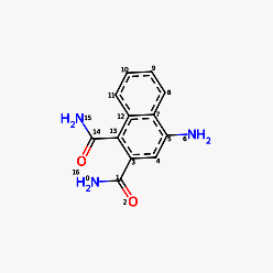 NC(=O)c1cc(N)c2ccccc2c1C(N)=O